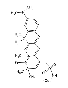 CCCCCCCCNS(=O)(=O)CC1=CC(C)(C)N(CC)C2(C)C=C3C(=Cc4ccc(N(C)C)cc4C3(C)C)C=C12